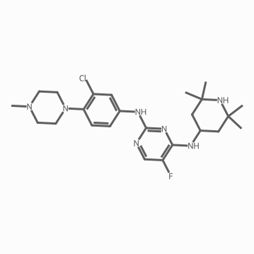 CN1CCN(c2ccc(Nc3ncc(F)c(NC4CC(C)(C)NC(C)(C)C4)n3)cc2Cl)CC1